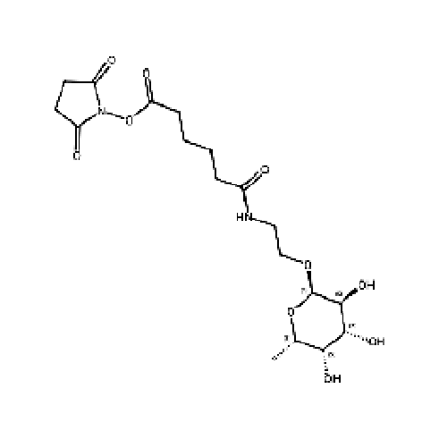 C[C@@H]1O[C@@H](OCCNC(=O)CCCCC(=O)ON2C(=O)CCC2=O)[C@@H](O)[C@H](O)[C@@H]1O